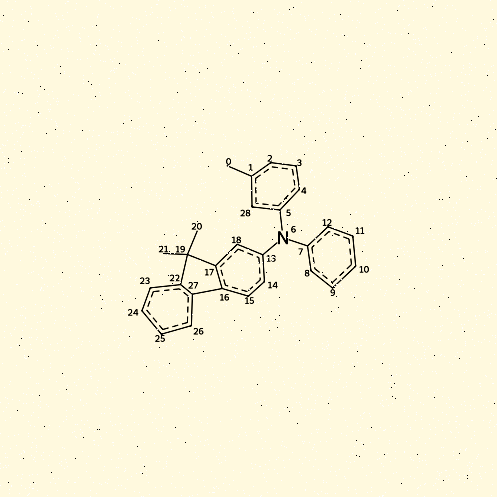 Cc1cccc(N(c2ccccc2)c2ccc3c(c2)C(C)(C)c2ccccc2-3)c1